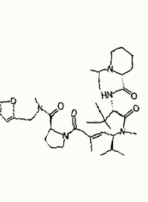 C/C(=C\[C@H](C(C)C)N(C)C(=O)[C@@H](NC(=O)[C@H]1CCCCN1C(C)C)C(C)(C)C)C(=O)N1CCC[C@H]1C(=O)N(C)Cc1ccco1